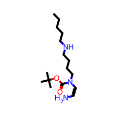 CCCCCNCCCCN(/C=C\N)C(=O)OC(C)(C)C